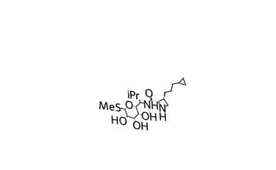 CS[C@H]1O[C@H]([C@H](NC(=O)[C@H]2NC[C@@H]2CCCC2CC2)C(C)C)[C@H](O)[C@H](O)[C@H]1O